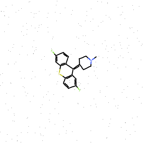 CN1CCC(=C2c3ccc(F)cc3Sc3ccc(F)cc32)CC1